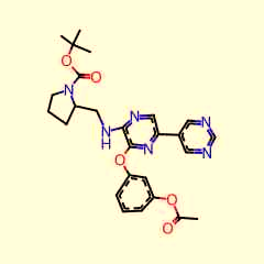 CC(=O)Oc1cccc(Oc2nc(-c3cncnc3)cnc2NCC2CCCN2C(=O)OC(C)(C)C)c1